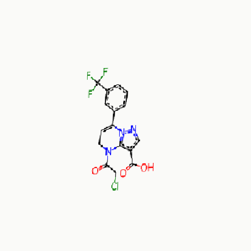 O=C(O)c1cnn2c1N(C(=O)CCl)CC=C2c1cccc(C(F)(F)F)c1